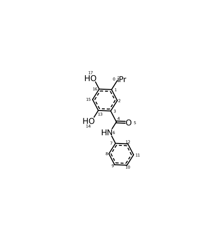 CC(C)c1cc(C(=O)Nc2ccccc2)c(O)cc1O